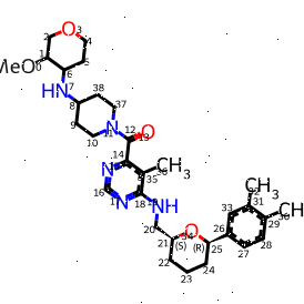 COC1COCCC1NC1CCN(C(=O)c2ncnc(NC[C@@H]3CCC[C@H](c4ccc(C)c(C)c4)O3)c2C)CC1